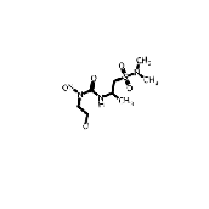 CC(CS(=O)(=O)N(C)C)NC(=O)N(CCCl)N=O